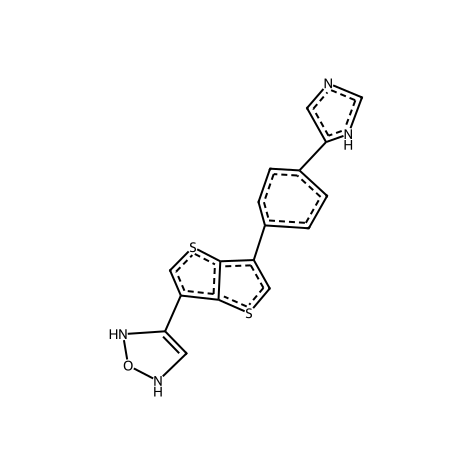 C1=C(c2csc3c(-c4ccc(-c5cnc[nH]5)cc4)csc23)NON1